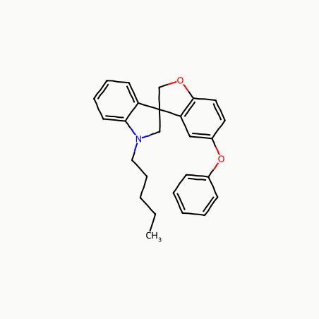 CCCCCN1CC2(COc3ccc(Oc4ccccc4)cc32)c2ccccc21